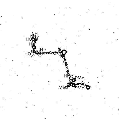 COc1ccc(C(SCCC(=O)NCCCOCCOCCOCCCn2nnc3c2CCCCCC3(F)C(=O)NCCOCCOCCOCCNC(=O)CCC(NC(=O)c2ccc(NCc3cnc4nc(N)nc(O)c4n3)cc2)C(=O)O)(c2ccc(OC)cc2)c2ccc(OC)c(C#CCCC(=O)NCc3ccccc3)c2)cc1